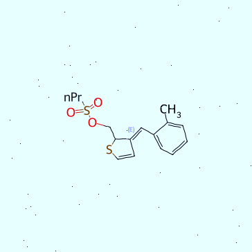 CCCS(=O)(=O)OCC1SC=C/C1=C\c1ccccc1C